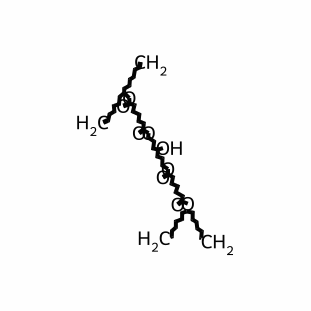 C=CCCCCCC(CCCCCC=C)OC(=O)CCCCCC(=O)OCCCC(O)CCCOC(=O)CCCCCC(=O)OC(CCCCCC=C)CCCCCC=C